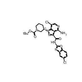 CC(C)(C)OC(=O)N1CCC[C@@H](n2nc(C(=O)Nc3nc4cc(Cl)ccc4o3)c3c(N)ncc(Cl)c32)C1